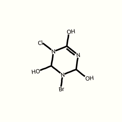 OC1=NC(O)N(Br)C(O)N1Cl